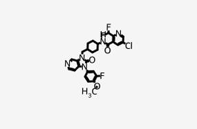 COc1ccc(-n2c(=O)n(CC3CCC(NC(=O)c4cc(Cl)cnc4C(F)F)CC3)c3cnccc32)cc1F